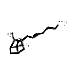 CC1(C)C2CC(CC=CCCCC(=O)O)C(N)C1C2